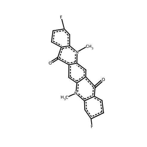 Cn1c2cc(F)ccc2c(=O)c2cc3c(cc21)c(=O)c1ccc(F)cc1n3C